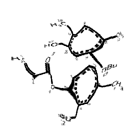 C=CC(=O)Oc1ccc(C)cc1CCCC.CCCCc1cc(O)c(C)cc1C